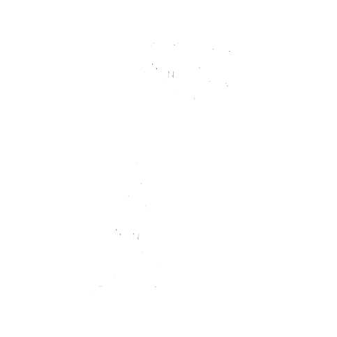 O=C(CCCCCC12CC(Cn3ncc4c(F)cccc43)(C1)C2)N1N=CCC1c1ccccc1